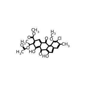 COC(=O)c1cc2c(c(O)c1C(C)OC(C)=O)C(=O)c1c(O)cc3cc(C)c(Cl)c(OC)c3c1C2=O